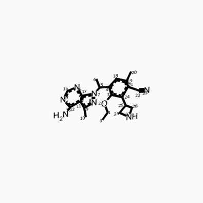 CCOc1c(C(C)n2nc(C)c3c(N)ncnc32)cc(C)c(C#N)c1C1CNC1